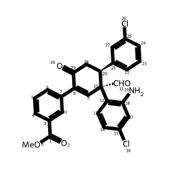 COC(=O)c1cccc(C2=C[C@](C=O)(c3ccc(Cl)cc3N)[C@H](c3cccc(Cl)c3)CC2=O)c1